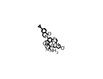 C=CC(=O)N1CC(OC)CC1COc1c(N)ncnc1-c1cc(F)cc(N2CCc3cc(C4CC4)ccc3C2=O)c1CO